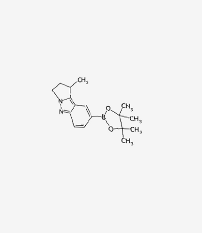 CC1CCn2nc3ccc(B4OC(C)(C)C(C)(C)O4)cc3c21